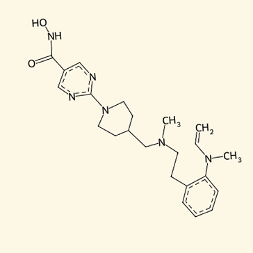 C=CN(C)c1ccccc1CCN(C)CC1CCN(c2ncc(C(=O)NO)cn2)CC1